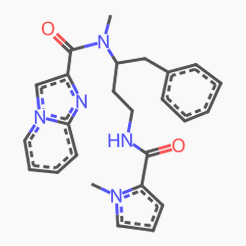 CN(C(=O)c1cn2ccccc2n1)C(CCNC(=O)c1cccn1C)Cc1ccccc1